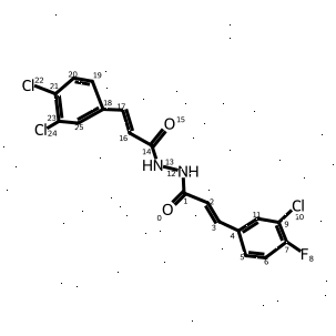 O=C(/C=C/c1ccc(F)c(Cl)c1)NNC(=O)/C=C/c1ccc(Cl)c(Cl)c1